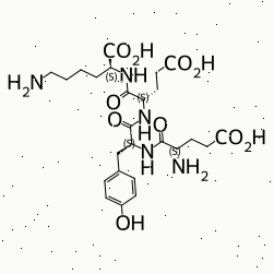 NCCCC[C@H](NC(=O)[C@H](CCC(=O)O)NC(=O)[C@H](Cc1ccc(O)cc1)NC(=O)[C@@H](N)CCC(=O)O)C(=O)O